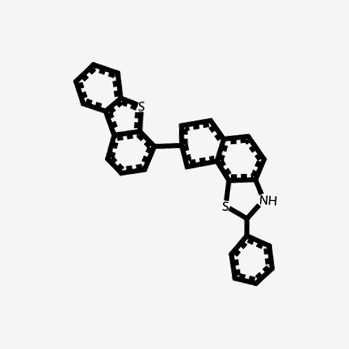 c1ccc(C2Nc3ccc4ccc(-c5cccc6c5sc5ccccc56)cc4c3S2)cc1